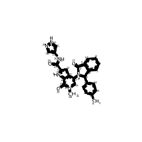 Cc1ccc(C2c3ccccc3C(=O)N2c2cn(C)c(=O)c3[nH]c(C(=O)Nc4cn[nH]c4)cc23)cc1